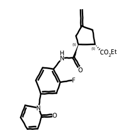 C=C1C[C@H](C(=O)Nc2ccc(-n3ccccc3=O)cc2F)[C@@H](C(=O)OCC)C1